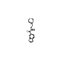 O=C(NCCN1CCCCC1)c1ccc2[c]c[nH]c2c1